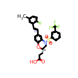 Cc1ccc(F)c(/C=C/c2ccc3c(c2)N(S(=O)(=O)c2cccc(C(F)(F)F)c2)C[C@H](CCC(=O)O)O3)c1